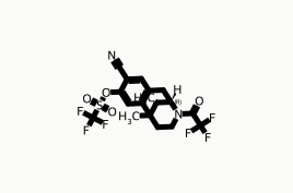 CC1[C@H]2Cc3cc(C#N)c(OS(=O)(=O)C(F)(F)F)cc3C1(C)CCN2C(=O)C(F)(F)F